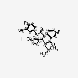 CC(C)CN1C(=O)c2cc(F)ccc2C(C(=O)Nc2ccc(F)c(C#N)c2)C1c1cnn(C)c1